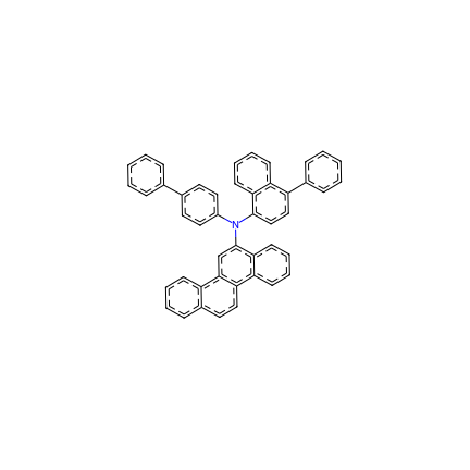 c1ccc(-c2ccc(N(c3ccc(-c4ccccc4)c4ccccc34)c3cc4c5ccccc5ccc4c4ccccc34)cc2)cc1